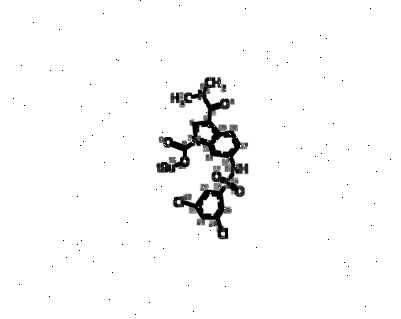 CN(C)C(=O)c1cn(C(=O)OC(C)(C)C)c2cc(NS(=O)(=O)c3cc(Cl)cc(Cl)c3)ccc12